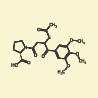 COc1cc(C(=O)C(CC(=O)N2CCC[C@H]2C(=O)O)SC(C)=O)cc(OC)c1OC